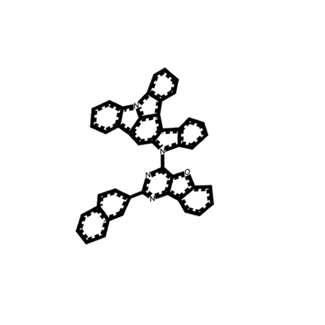 c1ccc2cc(-c3nc(-n4c5ccccc5c5c6c7ccccc7n7c8ccccc8c(cc54)c67)c4oc5ccccc5c4n3)ccc2c1